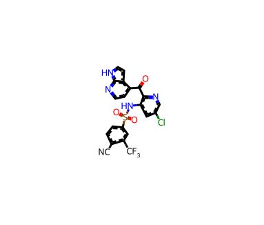 N#Cc1ccc(S(=O)(=O)Nc2cc(Cl)cnc2C(=O)c2ccnc3[nH]ccc23)cc1C(F)(F)F